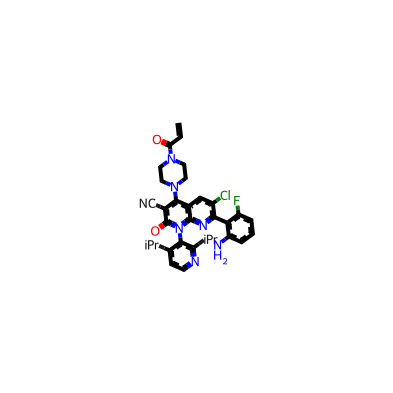 C=CC(=O)N1CCN(c2c(C#N)c(=O)n(-c3c(C(C)C)ccnc3C(C)C)c3nc(-c4c(N)cccc4F)c(Cl)cc23)CC1